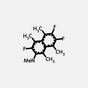 CNc1c(F)c(C)c2c(C)c(F)c(F)c(C)c2c1C